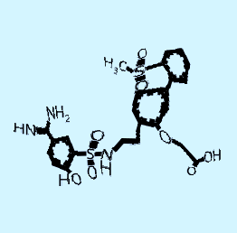 CS(=O)(=O)c1ccccc1-c1ccc(CCNS(=O)(=O)c2cc(C(=N)N)ccc2O)c(OCC(=O)O)c1